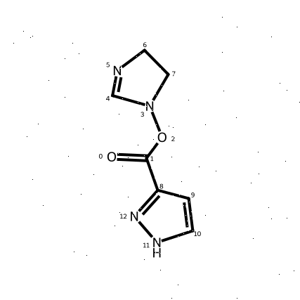 O=C(ON1C=NCC1)c1cc[nH]n1